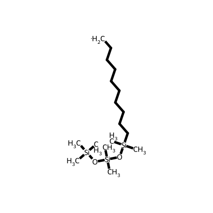 [CH2]CCCCCCCCC[Si](C)(C)O[Si](C)(C)O[Si](C)(C)C